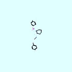 Cc1ccc(COCCN[C@@H]2CCCC[C@H]2NS(=O)(=O)c2ccc(C)cc2)cc1